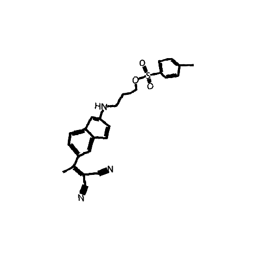 CC(=C(C#N)C#N)c1ccc2cc(NCCCOS(=O)(=O)c3ccc(C)cc3)ccc2c1